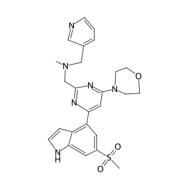 CN(Cc1cccnc1)Cc1nc(-c2cc(S(C)(=O)=O)cc3[nH]ccc23)cc(N2CCOCC2)n1